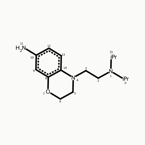 CC(C)N(CCN1CCOc2cc(N)ccc21)C(C)C